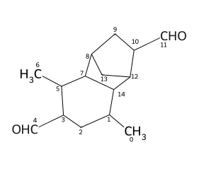 CC1CC(C=O)C(C)C2C3CC(C=O)C(C3)C12